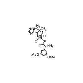 COc1cc(OC)cc(C(N)C(=O)NC2C(=O)N3C(c4nnn[nH]4)C(C)(C)S[C@@H]23)c1